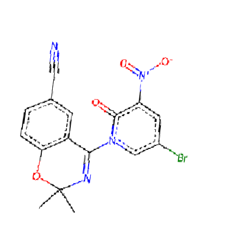 CC1(C)N=C(n2cc(Br)cc([N+](=O)[O-])c2=O)c2cc(C#N)ccc2O1